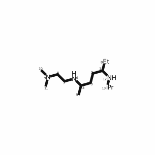 CCC(CCC(C)NCCN(C)C)NC(C)C